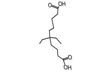 CCC(CC)(CCCCC(=O)O)CCCC(=O)O